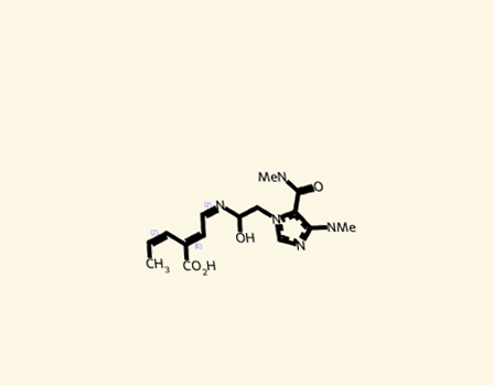 C\C=C/C(=C\C=N/C(O)Cn1cnc(NC)c1C(=O)NC)C(=O)O